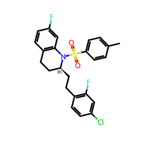 Cc1ccc(S(=O)(=O)N2c3cc(F)ccc3CC[C@@H]2CCc2ccc(Cl)cc2F)cc1